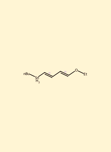 CCC[CH2][SnH2]/[CH]=C/C=C/OCC